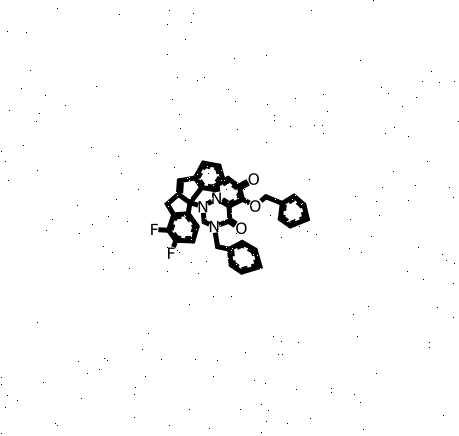 O=C1c2c(OCc3ccccc3)c(=O)ccn2N(C23C(=Cc4ccccc42)Cc2c3ccc(F)c2F)CN1Cc1ccccc1